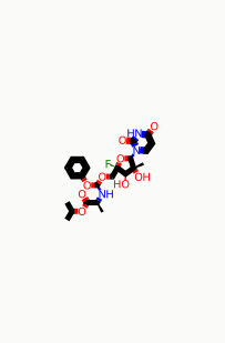 CC(C)OC(=O)[C@H](C)N[C@H](OC[C@@]1(F)O[C@@H](n2ccc(=O)[nH]c2=O)[C@](C)(O)[C@@H]1O)Oc1ccccc1